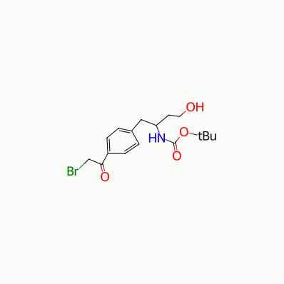 CC(C)(C)OC(=O)NC(CCO)Cc1ccc(C(=O)CBr)cc1